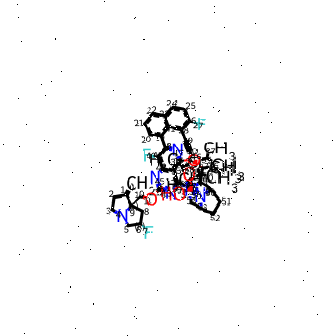 C=C1CCN2C[C@H](F)C[C@@]12COc1nc2c3c(nc(-c4cccc5ccc(F)c(C#C[Si](C(C)C)(C(C)C)C(C)C)c45)c(F)c3n1)OC(C)C1C3CCC(CN21)N3C(=O)O